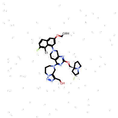 CCc1c(F)ccc2cc(OCOC)cc(N3CCc4c(nc(OC[C@@]56CCCN5C[C@H](F)C6)nc4N4CCCn5nnc(CO)c5C4)C3)c12